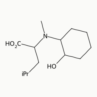 CC(C)CC(C(=O)O)N(C)C1CCCCC1O